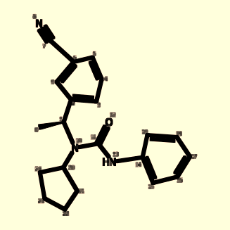 C[C@@H](c1cccc(C#N)c1)N(C(=O)Nc1ccccc1)C1CCCC1